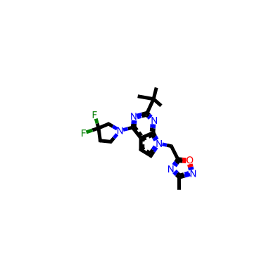 Cc1noc(Cn2ccc3c(N4CCC(F)(F)C4)nc(C(C)(C)C)nc32)n1